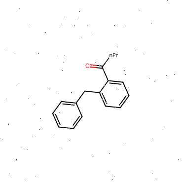 CCCC(=O)c1ccccc1[CH]c1ccccc1